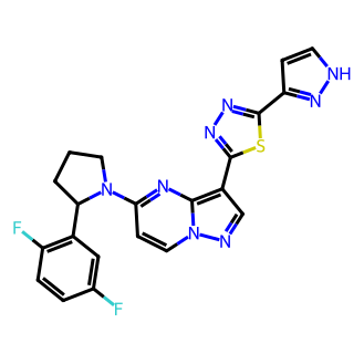 Fc1ccc(F)c(C2CCCN2c2ccn3ncc(-c4nnc(-c5cc[nH]n5)s4)c3n2)c1